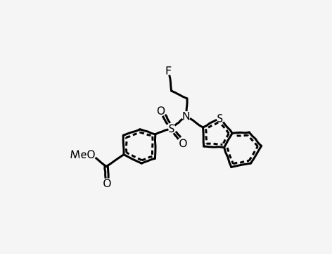 COC(=O)c1ccc(S(=O)(=O)N(CCF)c2cc3ccccc3s2)cc1